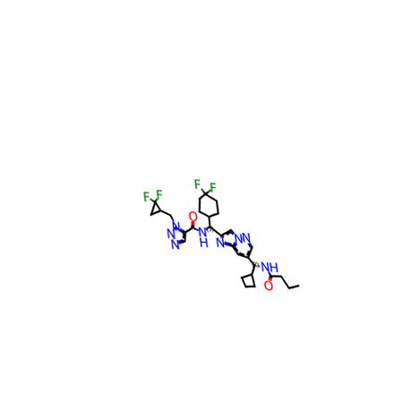 CCCC(=O)N[C@@H](c1cnn2cc([C@@H](NC(=O)c3cnnn3CC3CC3(F)F)C3CCC(F)(F)CC3)nc2c1)C1CCC1